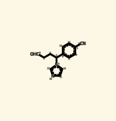 N#Cc1ccc(C(CCC=O)n2ccnc2)cc1